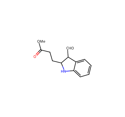 COC(=O)CCC1Nc2ccccc2C1C=O